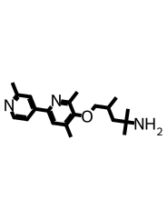 Cc1cc(-c2cc(C)c(OCC(C)CC(C)(C)N)c(C)n2)ccn1